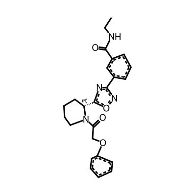 CCNC(=O)c1cccc(-c2noc([C@H]3CCCCN3C(=O)COc3ccccc3)n2)c1